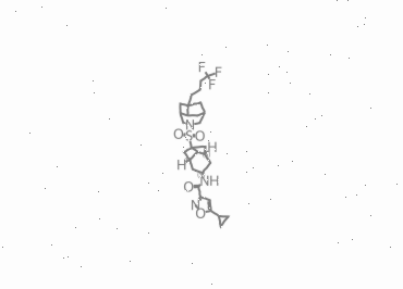 O=C(N[C@@H]1C[C@@H]2CC3(S(=O)(=O)N4CC5CC6C(C4)CC6(CCCC(F)(F)F)C5)C[C@H](C1)C23)c1cc(C2CC2)on1